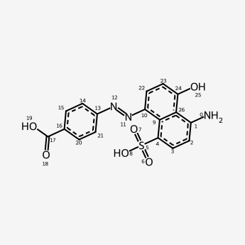 Nc1ccc(S(=O)(=O)O)c2c(N=Nc3ccc(C(=O)O)cc3)ccc(O)c12